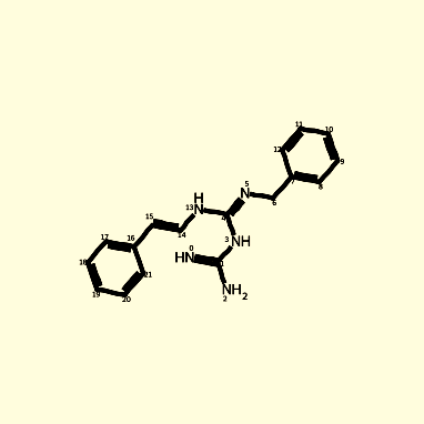 N=C(N)NC(=NCc1ccccc1)NC=Cc1ccccc1